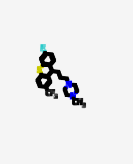 CN1CCN(CCCC2c3ccc(F)cc3Sc3ccc(C(F)(F)F)cc32)CC1